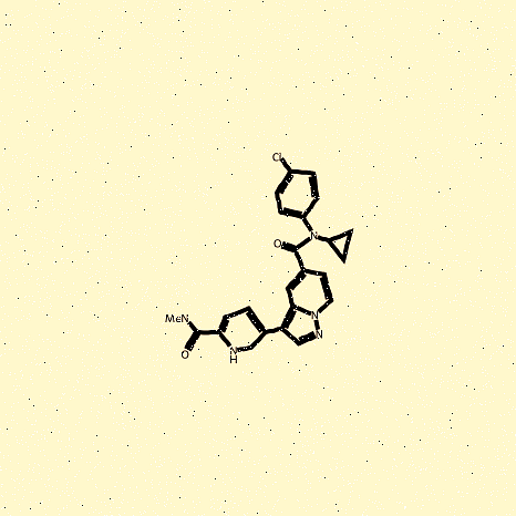 CNC(=O)C1=CC=C(c2cnn3ccc(C(=O)N(c4ccc(Cl)cc4)C4CC4)cc23)CN1